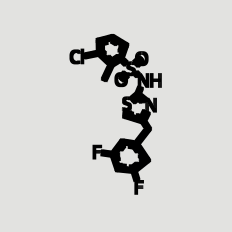 Cc1c(Cl)cccc1S(=O)(=O)Nc1nc(Cc2cc(F)cc(F)c2)cs1